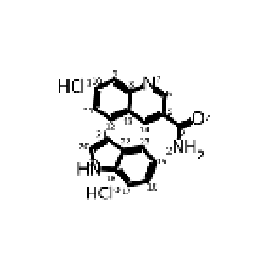 Cl.Cl.NC(=O)c1cnc2ccccc2c1.c1ccc2[nH]ccc2c1